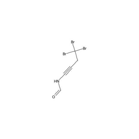 O=CNC#CCC(Br)(Br)Br